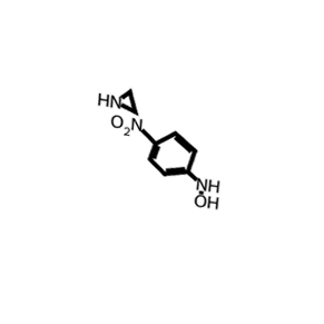 C1CN1.O=[N+]([O-])c1ccc(NO)cc1